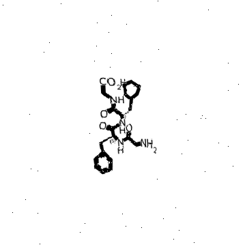 NCC(=O)N[C@@H](Cc1ccccc1)C(=O)N[C@@H](CC1CCCCC1)C(=O)NCC(=O)O